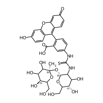 C[C@]1(O[C@H]2OC(CO)[C@@H](O)C(O)C2NC(=S)Nc2ccc(-c3c4ccc(=O)cc-4oc4cc(O)ccc34)c(C(=O)O)c2)OC(CO)[C@@H](O)C(O)C1O